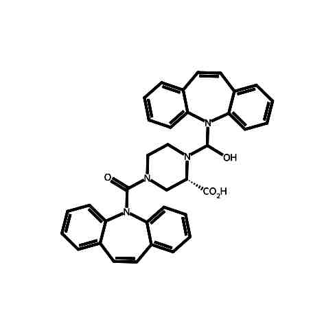 O=C(O)[C@@H]1CN(C(=O)N2c3ccccc3C=Cc3ccccc32)CCN1C(O)N1c2ccccc2C=Cc2ccccc21